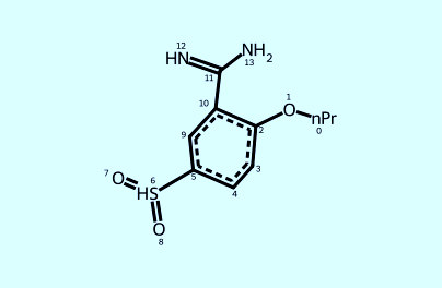 CCCOc1ccc([SH](=O)=O)cc1C(=N)N